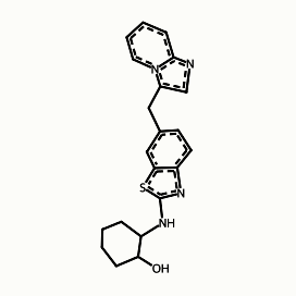 OC1CCCCC1Nc1nc2ccc(Cc3cnc4ccccn34)cc2s1